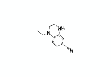 CCN1CCNc2cc(C#N)ccc21